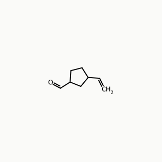 C=CC1CCC(C=O)C1